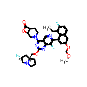 CCc1c(F)ccc2cc(OCOC)cc(-c3ncc4c(N5CCC6C(=O)OC6C5)nc(OC[C@@]56CCCN5C[C@H](F)C6)nc4c3F)c12